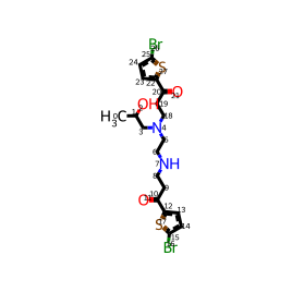 CC(O)CN(CCNCCC(=O)c1ccc(Br)s1)CCC(=O)c1ccc(Br)s1